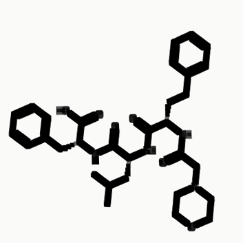 CC(C)C[C@@H](NC(=O)[C@H](CCc1ccccc1)NC(=O)CN1CCOCC1)C(=O)N[C@H](Cc1ccccc1)C(=O)O